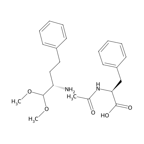 CC(=O)N[C@@H](Cc1ccccc1)C(=O)O.COC(OC)[C@@H](N)CCc1ccccc1